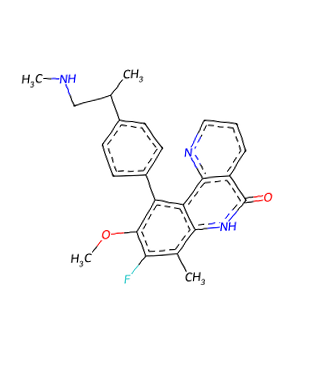 CNCC(C)c1ccc(-c2c(OC)c(F)c(C)c3[nH]c(=O)c4cccnc4c23)cc1